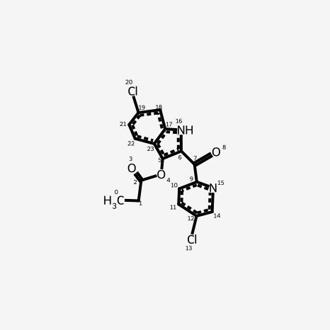 CCC(=O)Oc1c(C(=O)c2ccc(Cl)cn2)[nH]c2cc(Cl)ccc12